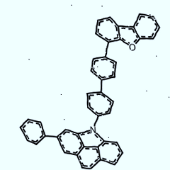 c1ccc(-c2cc3ccc4cccc5c4c3c(c2)n5-c2ccc(-c3ccc(-c4cccc5c4oc4ccccc45)cc3)cc2)cc1